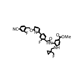 COC(=O)c1ccc(NCC2(CF)CC2)c(NC(=O)Cc2ccc(-c3cccc(OCc4ccc(C#N)cc4F)n3)cc2F)c1